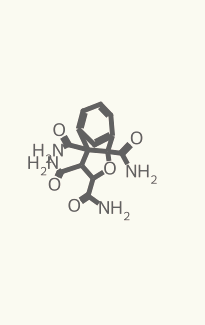 NC(=O)C1OC2(C(N)=O)c3cccc(c3)C2(C(N)=O)C1C(N)=O